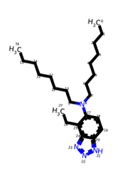 CCCCCCCCN(CCCCCCCC)c1ccc2[nH]nnc2c1CC